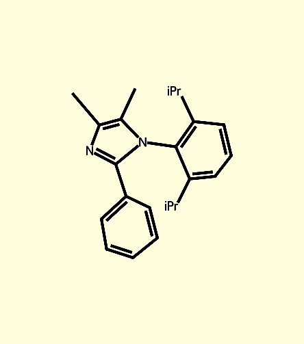 Cc1nc(-c2ccccc2)n(-c2c(C(C)C)cccc2C(C)C)c1C